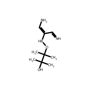 CC(C)(O)C(C)(C)OB/C(C=N)=C/N